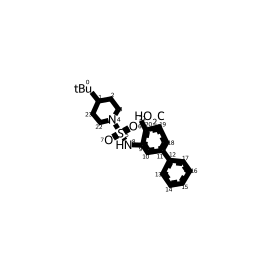 CC(C)(C)C1CCN(S(=O)(=O)Nc2cc(-c3ccccc3)ccc2C(=O)O)CC1